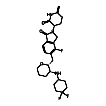 C=C1CC[C@@H](N2Cc3c(ccc(C[C@H]4OCCC[C@@H]4NC4CCC(F)(F)CC4)c3F)C2=O)C(=O)N1